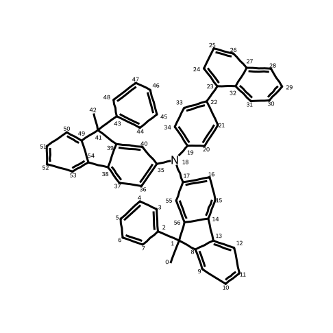 CC1(c2ccccc2)c2ccccc2-c2ccc(N(c3ccc(-c4cccc5ccccc45)cc3)c3ccc4c(c3)C(C)(c3ccccc3)c3ccccc3-4)cc21